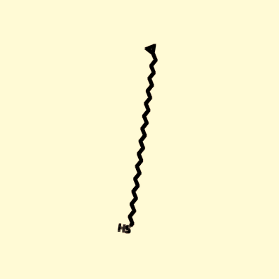 SCCCCCCCCCCCCCCCCCCCCCCCCCCCC1CC1